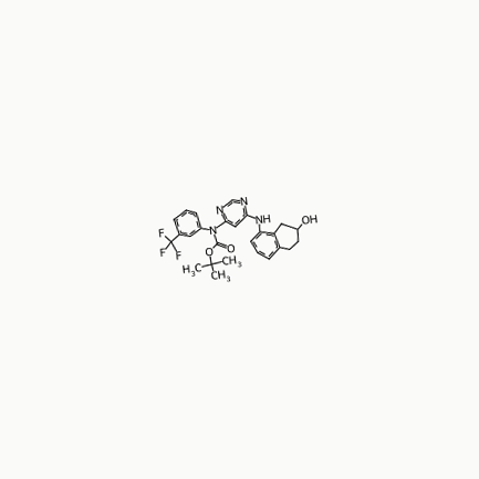 CC(C)(C)OC(=O)N(c1cccc(C(F)(F)F)c1)c1cc(Nc2cccc3c2CC(O)CC3)ncn1